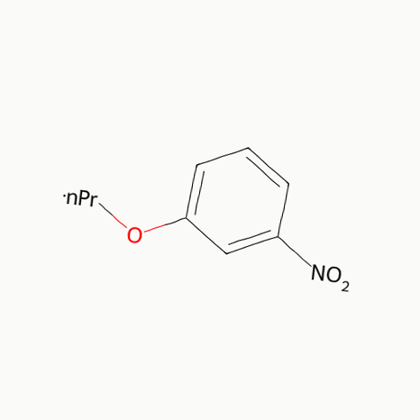 CC[CH]Oc1cccc([N+](=O)[O-])c1